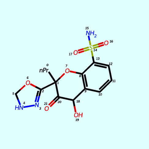 CCCC1(C2=NNCO2)Oc2c(cccc2S(N)(=O)=O)C(O)C1=O